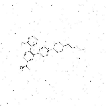 CCCCC[C@H]1CC[C@H](c2ccc(-c3cc(C(C)=O)ccc3-c3ccccc3F)cc2)CC1